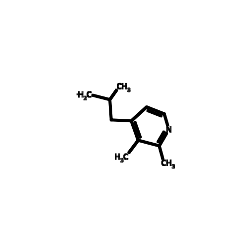 [CH2]C(C)Cc1ccnc(C)c1C